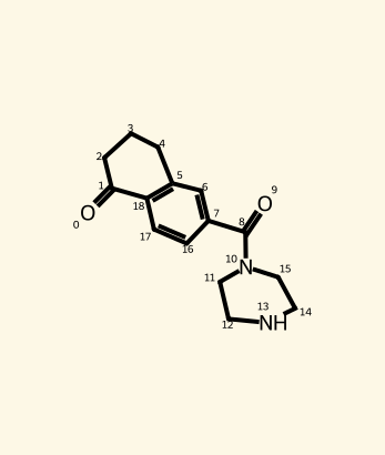 O=C1CCCc2cc(C(=O)N3CCNCC3)ccc21